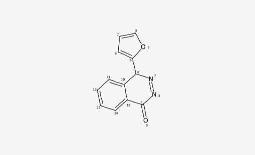 O=C1N=NC(c2ccco2)c2ccccc21